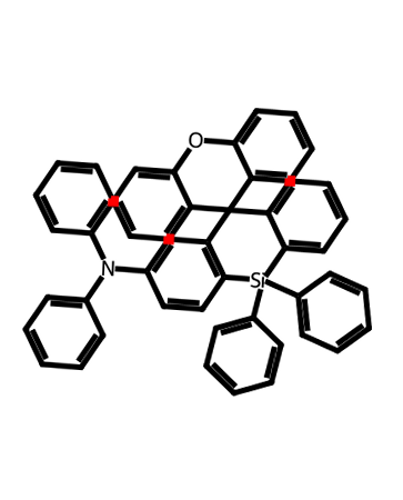 c1ccc(N(c2ccccc2)c2ccc3c(c2)C2(c4ccccc4Oc4ccccc42)c2ccccc2[Si]3(c2ccccc2)c2ccccc2)cc1